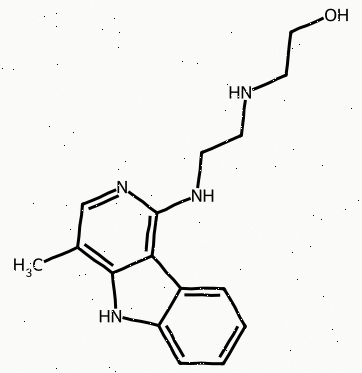 Cc1cnc(NCCNCCO)c2c1[nH]c1ccccc12